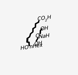 CCCCCC[C@@H](O)C/C=C\CCCCCCCC(=O)O.OCCOCCO.[NaH]